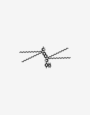 CCCCCCCCCCCCCCCCC1(CCCCCCCCCCCCCCCC)c2cc3cc4c(cc3cc2-c2sc(C)cc21)C(CCCCCCCCCCCCCCCC)(CCCCCCCCCCCCCCCC)c1cc(-c2ccc(C)c3nsnc23)sc1-4